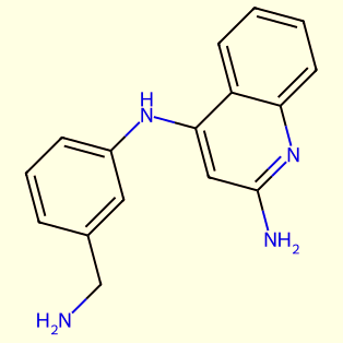 NCc1cccc(Nc2cc(N)nc3ccccc23)c1